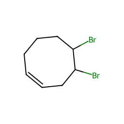 BrC1C/C=C\CCCC1Br